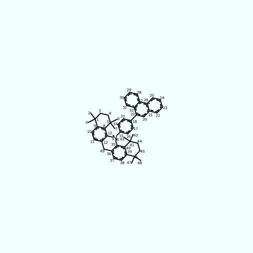 CC1(C)CCC(C)(C)c2c1ccc1c2N(c2ccc(-c3cc4ccccc4c4ccccc34)cc2)c2c(ccc3c2C(C)(C)CCC3(C)C)C1